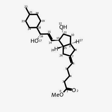 COC(=O)CCCC=C1C[C@@H]2C[C@@H](O)[C@H](C=C[C@H](O)C3CCC(C)CC3)[C@H]2C1